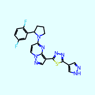 Fc1ccc(F)c(C2CCCN2c2ccn3ncc(-c4nnc(-c5cn[nH]c5)s4)c3n2)c1